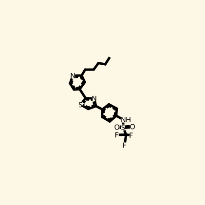 CCCCCc1cc(-c2nc(-c3ccc(NS(=O)(=O)C(F)(F)F)cc3)cs2)ccn1